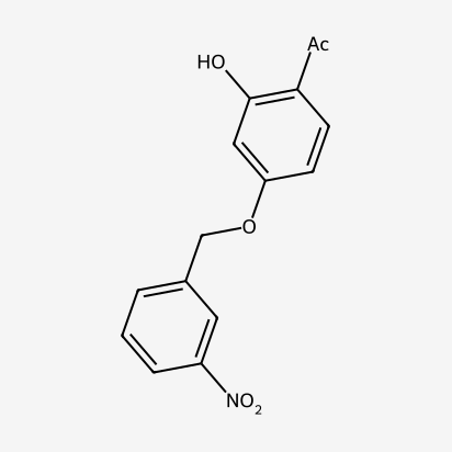 CC(=O)c1ccc(OCc2cccc([N+](=O)[O-])c2)cc1O